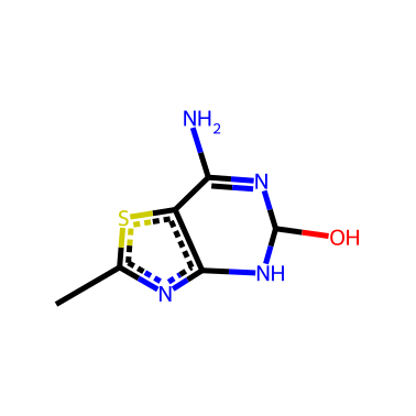 Cc1nc2c(s1)C(N)=NC(O)N2